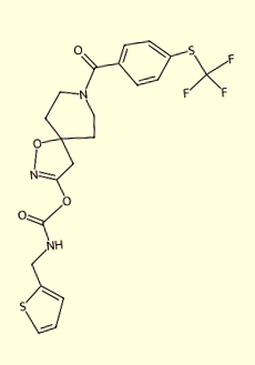 O=C(NCc1cccs1)OC1=NOC2(CCN(C(=O)c3ccc(SC(F)(F)F)cc3)CC2)C1